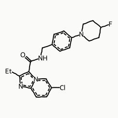 CCc1nc2ccc(Cl)cn2c1C(=O)NCc1ccc(N2CCC(F)CC2)cc1